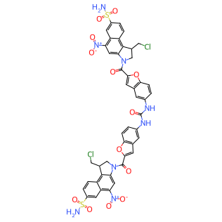 NS(=O)(=O)c1ccc2c3c(cc([N+](=O)[O-])c2c1)N(C(=O)c1cc2cc(NC(=O)Nc4ccc5oc(C(=O)N6CC(CCl)c7c6cc([N+](=O)[O-])c6cc(S(N)(=O)=O)ccc76)cc5c4)ccc2o1)CC3CCl